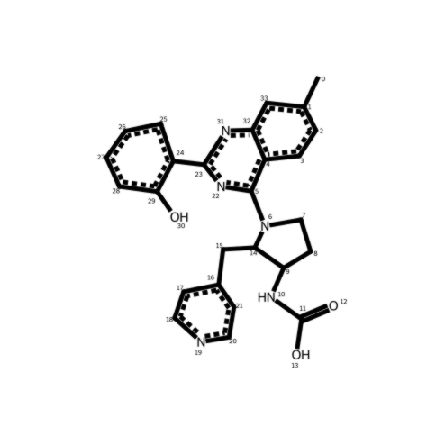 Cc1ccc2c(N3CCC(NC(=O)O)C3Cc3ccncc3)nc(-c3ccccc3O)nc2c1